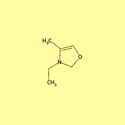 CCN1COC=C1C